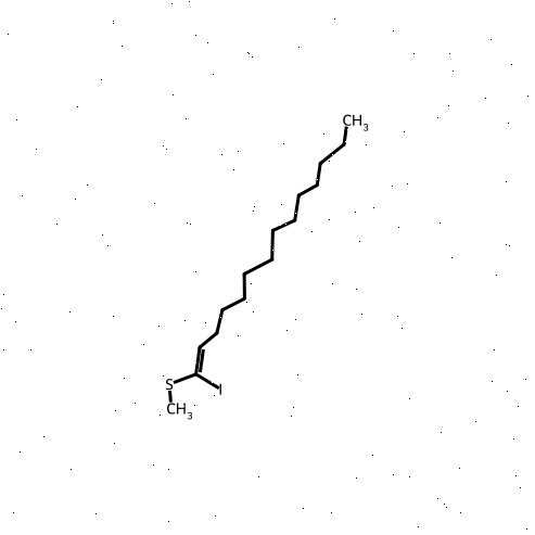 CCCCCCCCCCCCC=C(I)SC